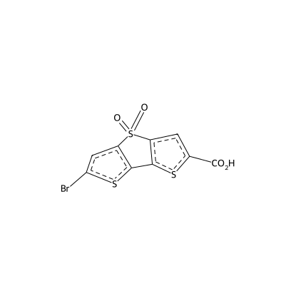 O=C(O)c1cc2c(s1)-c1sc(Br)cc1S2(=O)=O